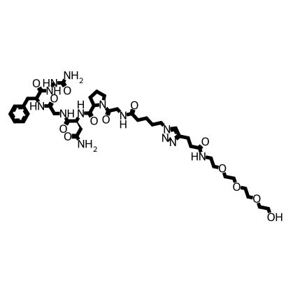 NC(=O)C[C@H](NC(=O)C1CCCN1C(=O)CNC(=O)CCCCn1cc(CCC(=O)NCCOCCOCCOCCO)nn1)C(=O)NCC(=O)NC(Cc1ccccc1)C(=O)NNC(N)=O